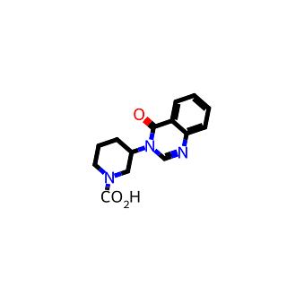 O=C(O)N1CCCC(n2cnc3ccccc3c2=O)C1